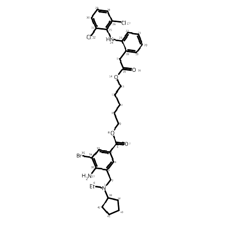 CCN(Cc1cc(C(=O)OCCCCCOC(=O)Cc2ccccc2Nc2c(Cl)cccc2Cl)cc(Br)c1N)C1CCCC1